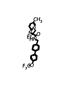 CCC1(C(=O)NCc2ccc(-c3ccc(OC(F)(F)F)cc3)cc2)CN2C=C(C)C=CC2=N1